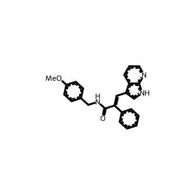 COc1ccc(CNC(=O)/C(=C/c2c[nH]c3ncccc23)c2ccccc2)cc1